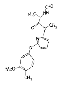 COc1cc(Oc2cccc(N(C)C(=O)C(C)NC=O)n2)ccc1C